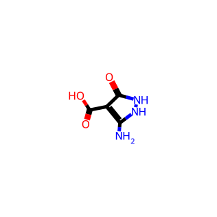 Nc1[nH][nH]c(=O)c1C(=O)O